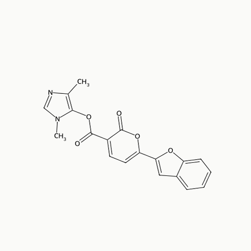 Cc1ncn(C)c1OC(=O)c1ccc(-c2cc3ccccc3o2)oc1=O